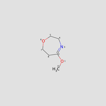 COC1=NCCOCC1